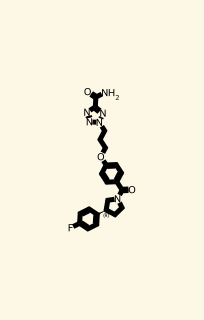 NC(=O)c1nnn(CCCOc2ccc(C(=O)N3CC[C@H](c4ccc(F)cc4)C3)cc2)n1